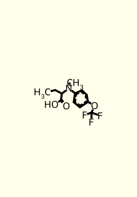 CCC(C(=O)O)N(C)c1ccc(OC(F)(F)F)cc1